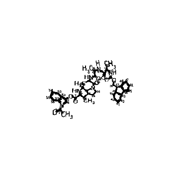 CC(=O)n1cc(OC(=O)C2NC(=O)C3C(CCN3C(=O)C(C)NC(=O)C(C)NC(=O)C(C)NC(=O)OCC3c4ccccc4-c4ccccc43)C2C)c2ccccc21